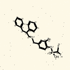 O=P(O)(Oc1ccc(COCC(Cc2ccccc2)c2ccccc2)cc1Br)C(F)F